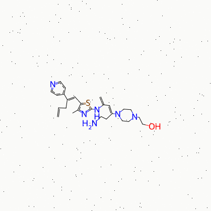 C=CC/C(=C\c1sc(NC(=C)/C=C(\CCN)N2CCN(CCO)CC2)nc1C)c1ccncc1